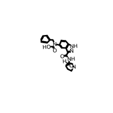 O=C(N[C@@H]1CN2CCC1CC2)c1n[nH]c2ccc(N(Cc3ccccc3)C(=O)O)cc12